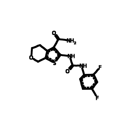 NC(=O)c1c(NC(=O)Nc2ccc(F)cc2F)sc2c1CCOC2